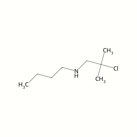 CCCCNCC(C)(C)Cl